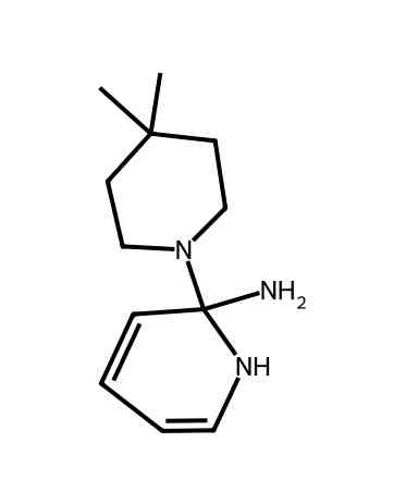 CC1(C)CCN(C2(N)C=CC=CN2)CC1